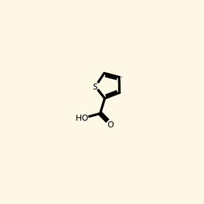 O=C(O)c1c[c]cs1